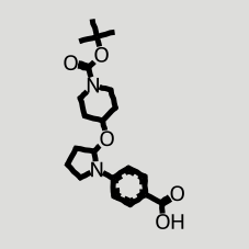 CC(C)(C)OC(=O)N1CCC(OC2CCCN2c2ccc(C(=O)O)cc2)CC1